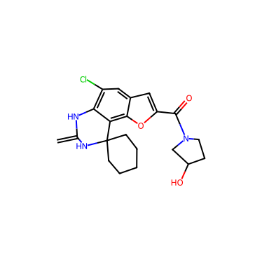 C=C1Nc2c(Cl)cc3cc(C(=O)N4CCC(O)C4)oc3c2C2(CCCCC2)N1